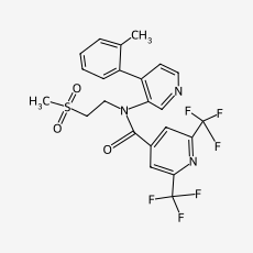 Cc1ccccc1-c1ccncc1N(CCS(C)(=O)=O)C(=O)c1cc(C(F)(F)F)nc(C(F)(F)F)c1